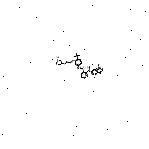 CC(C)(C)c1ccc(NC(=O)c2cccnc2Nc2ccc3cn[nH]c3c2)cc1/C=C/CCC1CCNC1